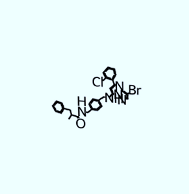 CC(Cc1ccccc1)C(=O)NCc1ccc(CNc2cc(-c3ccccc3Cl)nc3c(Br)cnn23)cc1